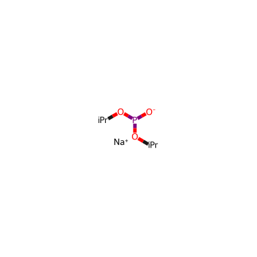 CC(C)OP([O-])OC(C)C.[Na+]